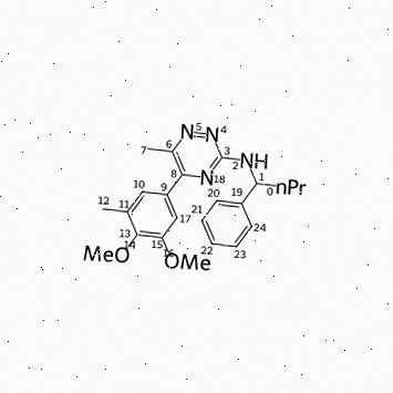 CCCC(Nc1nnc(C)c(-c2cc(C)c(OC)c(OC)c2)n1)c1ccccc1